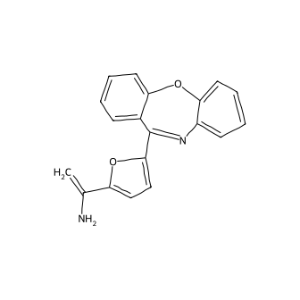 C=C(N)c1ccc(C2=Nc3ccccc3Oc3ccccc32)o1